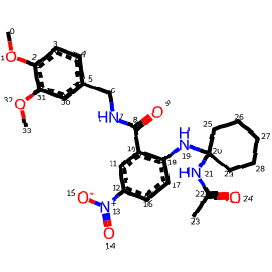 COc1ccc(CNC(=O)c2cc([N+](=O)[O-])ccc2NC2(NC(C)=O)CCCCC2)cc1OC